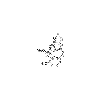 C=C1CCCN2CCc3cc4c(cc3[C@@H]3C(=O)C(OC)=CC1[C@@H]32)OCO4